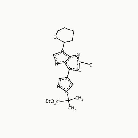 CCOC(=O)C(C)(C)n1cc(-c2nc(Cl)nc3c2ncn3C2CCCCO2)cn1